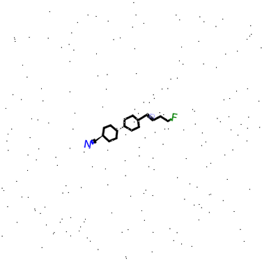 N#C[C@H]1CC[C@H](C2CCC(/C=C/CCF)CC2)CC1